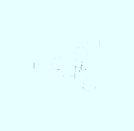 Oc1ccc(-c2nn(Cc3ccccc3)c3cc(O)ccc23)c(O)c1